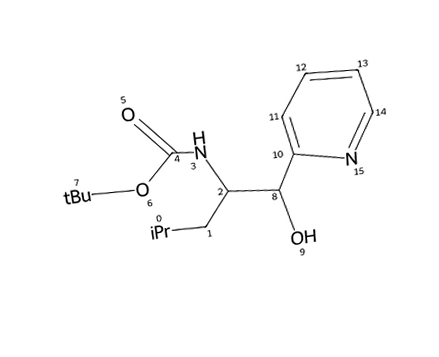 CC(C)CC(NC(=O)OC(C)(C)C)C(O)c1ccccn1